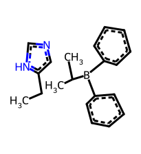 CC(C)B(c1ccccc1)c1ccccc1.CCc1cnc[nH]1